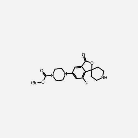 CC(C)(C)OC(=O)N1CCN(c2cc(F)c3c(c2)C(=O)OC32CCNCC2)CC1